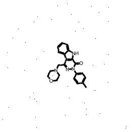 Cc1ccc(-n2nc(CN3CCOCC3)c3c([nH]c4ccccc43)c2=O)cc1